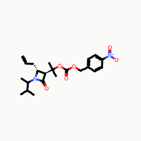 C=CC[C@@H]1[C@@H](C(C)(C)OC(=O)OCc2ccc([N+](=O)[O-])cc2)C(=O)N1C(C)C(C)C